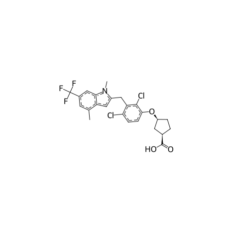 Cc1cc(C(F)(F)F)cc2c1cc(Cc1c(Cl)ccc(O[C@H]3CC[C@@H](C(=O)O)C3)c1Cl)n2C